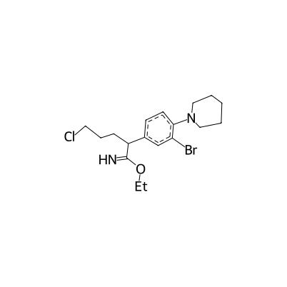 CCOC(=N)C(CCCCl)c1ccc(N2CCCCC2)c(Br)c1